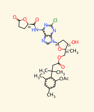 CC(=O)Oc1cc(C)cc(C)c1C(C)(C)CC(=O)OC[C@@]1(C)O[C@@H](n2cnc3c(NC(=O)[C@H]4CCC(=O)O4)nc(Cl)nc32)C[C@@H]1O